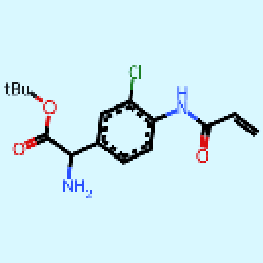 C=CC(=O)Nc1ccc(C(N)C(=O)OC(C)(C)C)cc1Cl